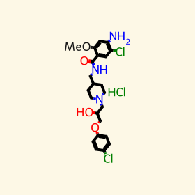 COc1cc(N)c(Cl)cc1C(=O)NCC1CCN(CC(O)COc2ccc(Cl)cc2)CC1.Cl